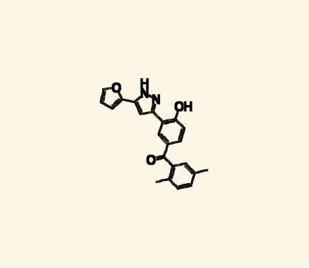 Cc1ccc(C)c(C(=O)c2ccc(O)c(-c3cc(-c4ccco4)[nH]n3)c2)c1